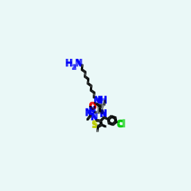 CC[C@@H](C(=O)NCCCCCCCCCCN)[C@@H]1N=C(c2ccc(Cl)cc2)c2c(sc(C)c2C)-n2c(C)nnc21